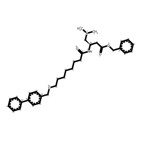 CN(C)C[C@@H](CC(=O)OCc1ccccc1)NC(=O)CCCCCCCOCc1ccc(-c2ccccc2)cc1